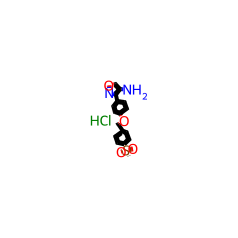 CS(=O)(=O)c1ccc(COc2ccc(-c3nocc3N)cc2)cc1.Cl